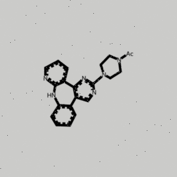 CC(=O)N1CCN(c2ncc3c(n2)-c2cccnc2Nc2ccccc2-3)CC1